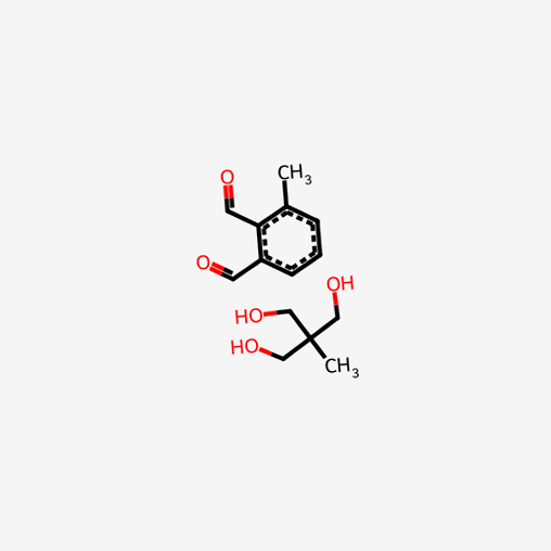 CC(CO)(CO)CO.Cc1cccc(C=O)c1C=O